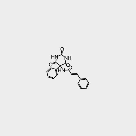 O=C(C=Cc1ccccc1)NC1(c2ccccc2)C(=O)NC(=O)NC1=O